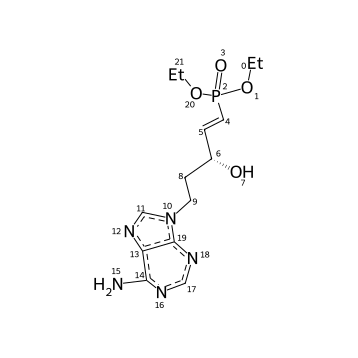 CCOP(=O)(/C=C/[C@H](O)CCn1cnc2c(N)ncnc21)OCC